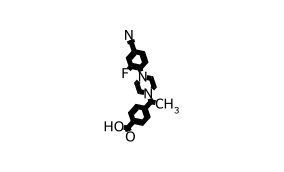 CC(c1ccc(C(=O)O)cc1)N1CCN(c2ccc(C#N)cc2F)CC1